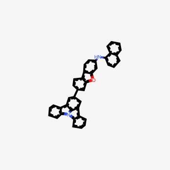 c1ccc2c(Nc3ccc4c(c3)oc3cc(-c5cc6c7ccccc7n7c8ccccc8c(c5)c67)ccc34)cccc2c1